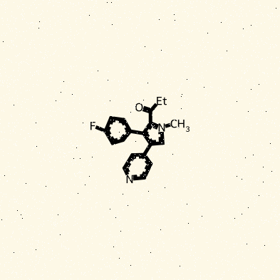 CCC(=O)c1c(-c2ccc(F)cc2)c(-c2ccncc2)cn1C